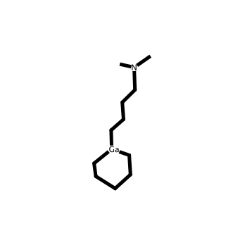 CN(C)CCC[CH2][Ga]1[CH2]CCC[CH2]1